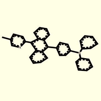 Cc1ccc(-c2c3ccccc3c(-c3ccc(N(c4ccccc4)c4ccccc4)cc3)c3ccccc23)nc1